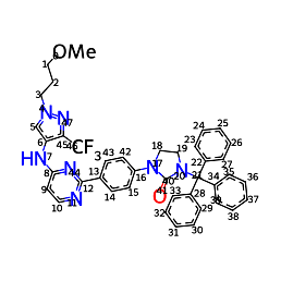 COCCCn1cc(Nc2ccnc(-c3ccc(N4CCN(C(c5ccccc5)(c5ccccc5)c5ccccc5)C4=O)cc3)n2)c(C(F)(F)F)n1